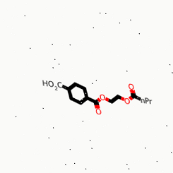 CCCC(=O)OCCOC(=O)C1CCC(C(=O)O)CC1